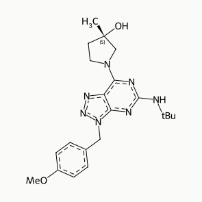 COc1ccc(Cn2nnc3c(N4CC[C@](C)(O)C4)nc(NC(C)(C)C)nc32)cc1